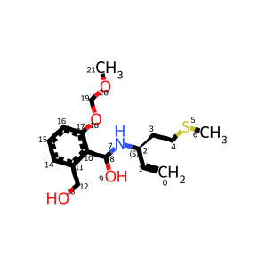 C=C[C@H](CCSC)NC(O)c1c(CO)cccc1OCOC